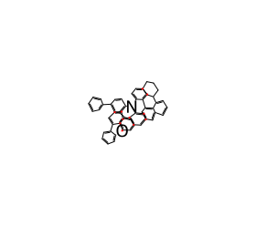 c1ccc(-c2ccc(N(c3ccccc3-c3cccc4c3oc3ccccc34)c3ccccc3-c3cccc4cccc(C5CCCCC5)c34)c(-c3ccccc3)c2)cc1